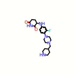 O=C1CCC(Nc2ccc(N3CCN(CC4CCNCC4)CC3)c(F)c2)C(=O)N1